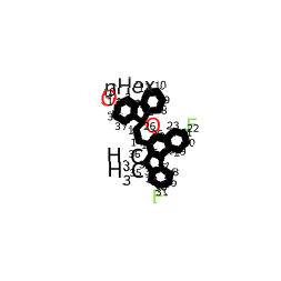 CCCCCCOc1ccc(C2(c3ccccc3)C=Cc3c4c(c5ccc(F)cc5c3O2)-c2ccc(F)cc2C4(C)C)cc1